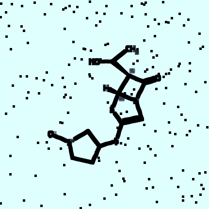 CC(O)[C@H]1C(=O)N2C=C(SC3CC[S+]([O-])C3)S[C@H]12